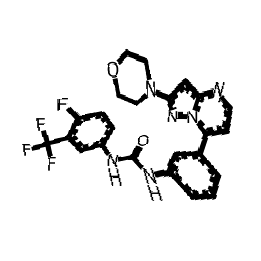 O=C(Nc1cccc(-c2ccnc3cc(N4CCOCC4)nn23)c1)Nc1ccc(F)c(C(F)(F)F)c1